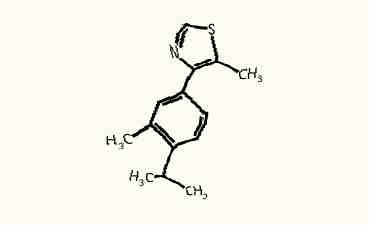 Cc1cc(-c2n[c]sc2C)ccc1C(C)C